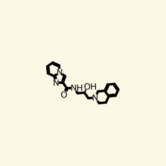 O=C(NC[C@@H](O)CN1CCc2ccccc2C1)c1cn2ccccc2n1